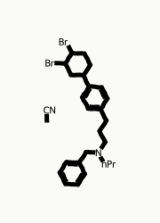 CC#N.CCCN(CCCc1ccc(C2CCC(Br)C(Br)C2)cc1)Cc1ccccc1